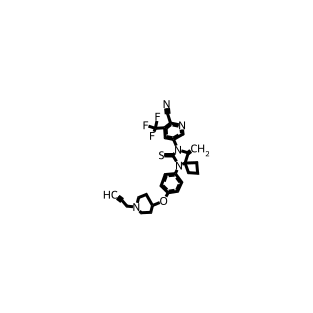 C#CCN1CCC(Oc2ccc(N3C(=S)N(c4cnc(C#N)c(C(F)(F)F)c4)C(=C)C34CCC4)cc2)CC1